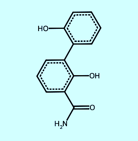 NC(=O)c1cccc(-c2ccccc2O)c1O